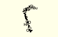 C=C(C)C(=O)OCCNC(=O)OCCOCCC[Si](C)(C)OC(C)(C)[Si](C)(C)OC(C)[Si](C)(C)CCCC